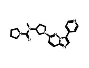 CN(C(=O)N1CCCC1)C1CCN(c2ccc3ncc(-c4ccncc4)n3n2)C1